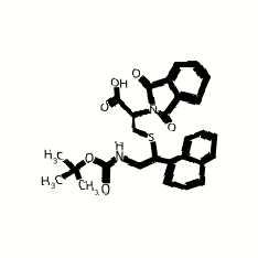 CC(C)(C)OC(=O)NCC(SC[C@@H](C(=O)O)N1C(=O)c2ccccc2C1=O)c1cccc2ccccc12